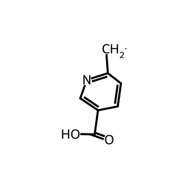 [CH2]c1ccc(C(=O)O)cn1